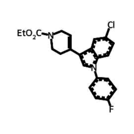 CCOC(=O)N1CC=C(c2cn(-c3ccc(F)cc3)c3ccc(Cl)cc23)CC1